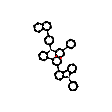 c1ccc(-c2cccc(N(c3ccc(-c4cccc5ccccc45)cc3)c3ccccc3-c3cccc(-c4cccc5c4c4ccccc4n5-c4ccccc4)c3)c2)cc1